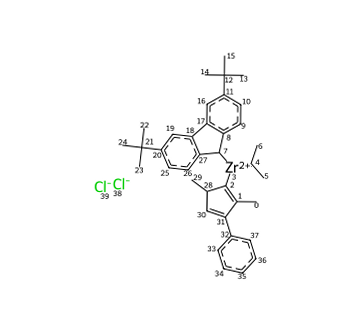 CC1=[C]([Zr+2](=[C](C)C)[CH]2c3ccc(C(C)(C)C)cc3-c3cc(C(C)(C)C)ccc32)C(C)C=C1c1ccccc1.[Cl-].[Cl-]